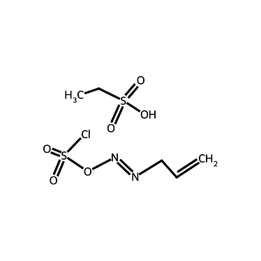 C=CCN=NOS(=O)(=O)Cl.CCS(=O)(=O)O